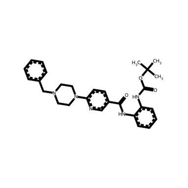 CC(C)(C)OC(=O)Nc1ccccc1NC(=O)c1ccc(N2CCN(Cc3ccccc3)CC2)nc1